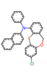 Clc1ccc2c(c1)OCc1cccc(N(c3ccccc3)c3ccc4ccccc4c3)c1S2